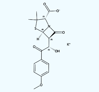 COc1ccc(C(=O)[C@@H](O)[C@@H]2C(=O)N3[C@@H]2SC(C)(C)[C@@H]3C(=O)[O-])cc1.[K+]